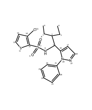 CCC(CC)C(NS(=O)(=O)c1sccc1Cl)c1ccnn1-c1ccccc1